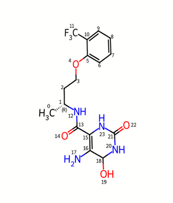 C[C@H](CCOc1ccccc1C(F)(F)F)NC(=O)C1=C(N)C(O)NC(=O)N1